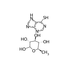 C[C@H]1OC(O)[C@H](O)[C@@H](O)[C@@H]1O.Sc1ncnc2nc[nH]c12